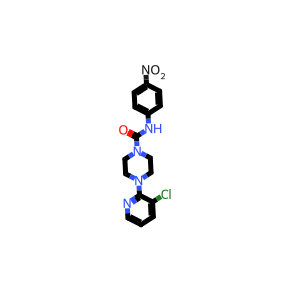 O=C(Nc1ccc([N+](=O)[O-])cc1)N1CCN(c2ncccc2Cl)CC1